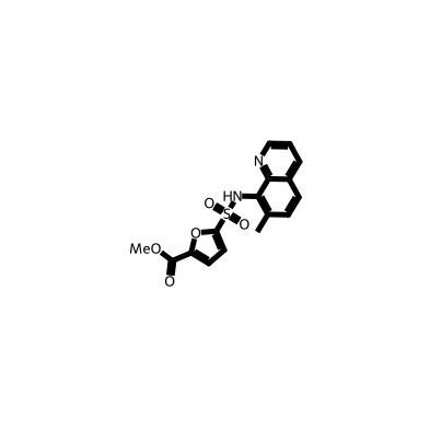 COC(=O)c1ccc(S(=O)(=O)Nc2c(C)ccc3cccnc23)o1